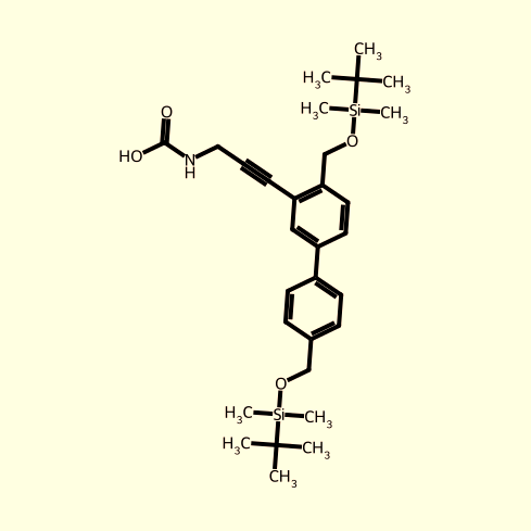 CC(C)(C)[Si](C)(C)OCc1ccc(-c2ccc(CO[Si](C)(C)C(C)(C)C)c(C#CCNC(=O)O)c2)cc1